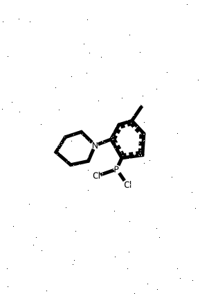 Cc1ccc(P(Cl)Cl)c(N2CCCCC2)c1